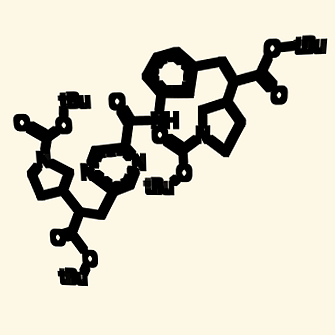 CC(C)(C)OC(=O)C(Cc1cccc(NC(=O)c2cnc(CC(C(=O)OC(C)(C)C)C3CCN(C(=O)OC(C)(C)C)C3)cn2)c1)C1CCN(C(=O)OC(C)(C)C)C1